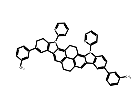 Cc1cccc(C2=Cc3c(n(-c4ccccn4)c4c5c6c(cc34)CCc3cc4c7cc(-c8cccc(C)c8)ccc7n(-c7ccccn7)c4c(c3-6)CC5)CC2)c1